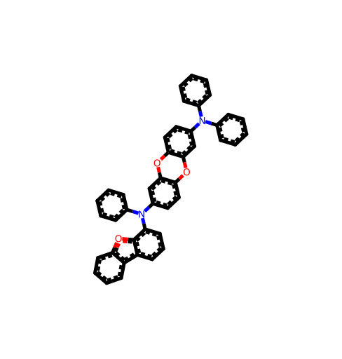 c1ccc(N(c2ccccc2)c2ccc3c(c2)Oc2ccc(N(c4ccccc4)c4cccc5c4oc4ccccc45)cc2O3)cc1